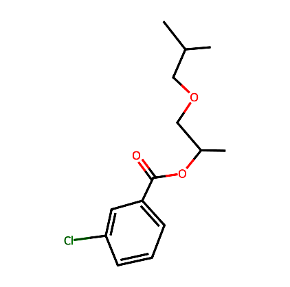 CC(C)COCC(C)OC(=O)c1cccc(Cl)c1